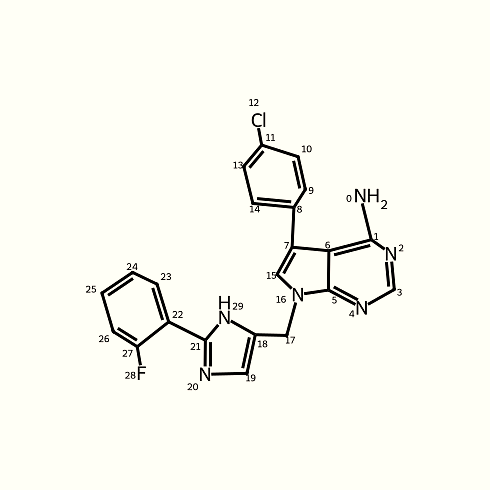 Nc1ncnc2c1c(-c1ccc(Cl)cc1)cn2Cc1cnc(-c2ccccc2F)[nH]1